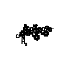 CC(C)CN(C[C@H](O)[C@H](Cc1ccccc1)NC(=O)[C@H](C(C)C)N1CC(=O)N(Cc2cccc([N+](=O)[O-])c2)C1=O)S(=O)(=O)c1ccc(Cl)c(N)c1